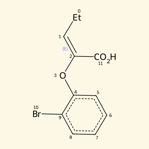 CC/C=C(/Oc1ccccc1Br)C(=O)O